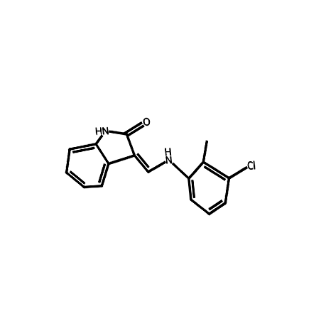 Cc1c(Cl)cccc1N/C=C1\C(=O)Nc2ccccc21